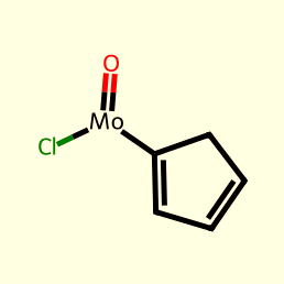 [O]=[Mo]([Cl])[C]1=CC=CC1